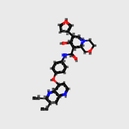 COc1cc2nccc(Oc3ccc(NC(=O)c4c5n(cc(-c6ccoc6)c4=O)CCOC5)cc3)c2nc1OC